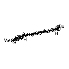 COC(=O)c1ccc(Oc2cccc(C(=O)NCCOCCOCCOCCOCCOCCOCCOCCNC(=O)OC(C)(C)C)c2)nc1